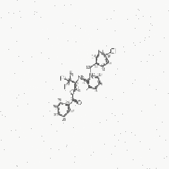 O=C(ON=C(/N=c1\ccccn1Cc1ccc(Cl)nc1)C(F)(F)F)c1ccccc1